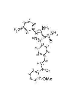 COc1ccccc1C(=O)NCc1ccc(-c2nn(-c3cccc(C(F)(F)F)c3)c(N)c2C(N)=O)cc1